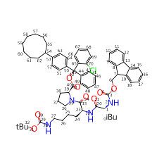 CC[C@H](C)[C@H](NC(=O)OCC1c2ccccc2-c2ccccc21)C(=O)N[C@@H](CCCCNC(=O)OC(C)(C)C)C(=O)N1CCC[C@H]1C(=O)OC(c1ccccc1)(c1ccc(C2CCCCCCCC2)cc1)c1ccccc1Cl